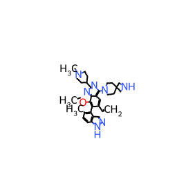 C=Cc1cc2c(N3CCC4(CC3)CNC4)nc(C3CCN(C)CC3)nc2c(OCC)c1-c1c(C)ccc2[nH]ncc12